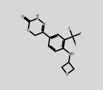 O=C1NN=C(c2ccc(NC3COC3)c(C(F)(F)F)c2)CO1